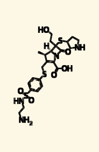 C[C@@H]1C(CSc2ccc(S(=O)(=O)NCCN)cc2)=C(C(=O)O)N2C(=O)C(CCO)(SC3CCNC3)[C@H]12